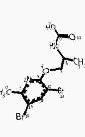 Cc1nc(OCC(C)NC(=O)O)c(Br)cc1Br